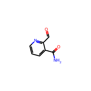 NC(=O)c1cccnc1C=O